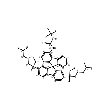 CCC(C)(CCCC(C)C)c1ccc2c(c1)C1(c3cc(C(C)(CC)CCCC(C)C)ccc3-2)c2ccccc2-c2c(NC(=O)OC(C)(C)C)cccc21